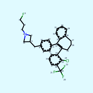 FCCCN1CC(Cc2ccc(C3=C(c4cccc(C(F)(F)F)c4Cl)CCCc4ccccc43)cc2)C1